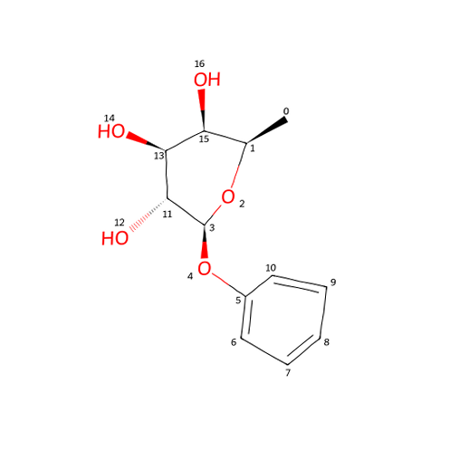 C[C@H]1O[C@@H](Oc2ccccc2)[C@H](O)[C@@H](O)[C@H]1O